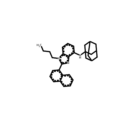 CCCCn1c(-c2cccc3ccccc23)nc2c(NC34CC5CC(CC(C5)C3)C4)cccc21